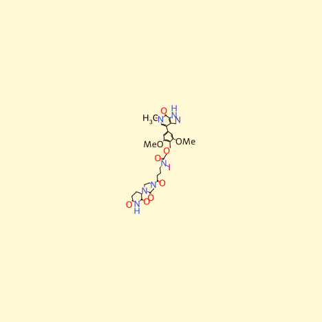 COc1cc(-c2cn(C)c(=O)c3[nH]ncc23)cc(OC)c1COCC(=O)N(I)CCCC(=O)N1CCN(C2CCC(=O)NC2=O)C(=O)C1